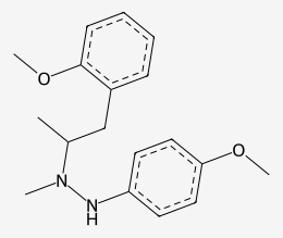 COc1ccc(NN(C)C(C)Cc2ccccc2OC)cc1